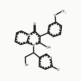 CC(C)CC(c1ccc(Cl)nc1)[n+]1c(O)c(-c2cccc(OC(F)(F)F)c2)c(=O)n2ccccc21